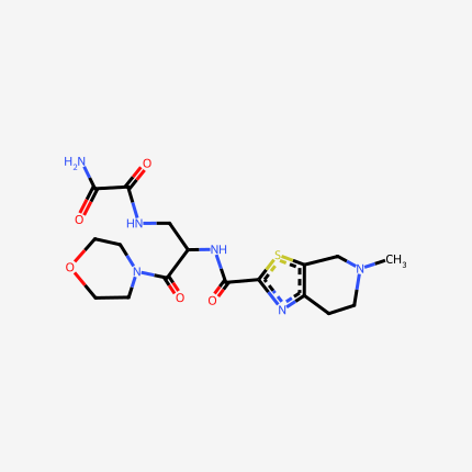 CN1CCc2nc(C(=O)NC(CNC(=O)C(N)=O)C(=O)N3CCOCC3)sc2C1